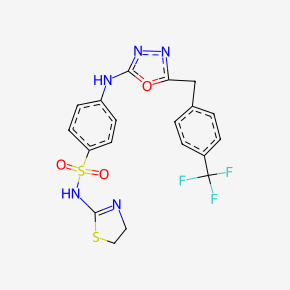 O=S(=O)(NC1=NCCS1)c1ccc(Nc2nnc(Cc3ccc(C(F)(F)F)cc3)o2)cc1